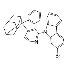 Brc1ccc2c3ccccc3n(-c3cc(C4(c5ccccc5)C5CC6CC(C5)CC4C6)ccn3)c2c1